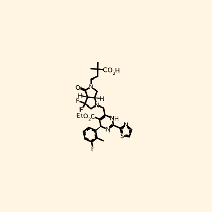 CCOC(=O)C1=C(CN2CC(F)(F)[C@@H]3C(=O)N(CCC(C)(C)C(=O)O)C[C@@H]32)NC(c2nccs2)=N[C@H]1c1cccc(F)c1C